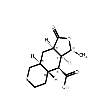 C[C@H]1OC(=O)[C@@H]2C[C@@H]3CSCC[C@H]3[C@H](C(=O)O)[C@H]12